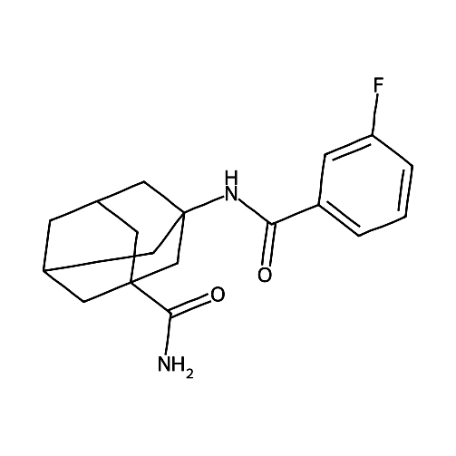 NC(=O)C12CC3CC(CC(NC(=O)c4cccc(F)c4)(C3)C1)C2